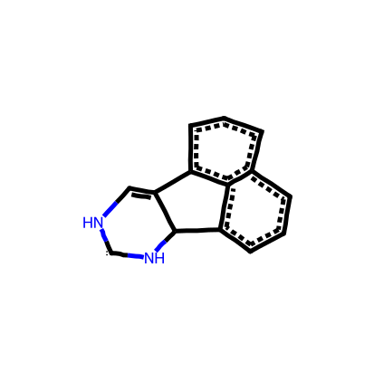 [C]1NC=C2c3cccc4cccc(c34)C2N1